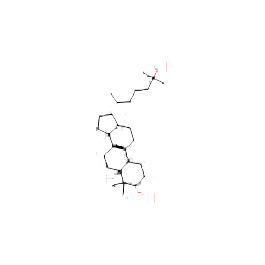 CC(CCCC(C)(C)O)[C@H]1CC[C@@]2(C)C3=C(CC[C@]12C)[C@@]1(C)CC[C@H](O)C(C)(C)[C@@H]1CC3